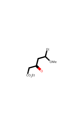 CCOC(=O)CC(=O)CC(CC)OC